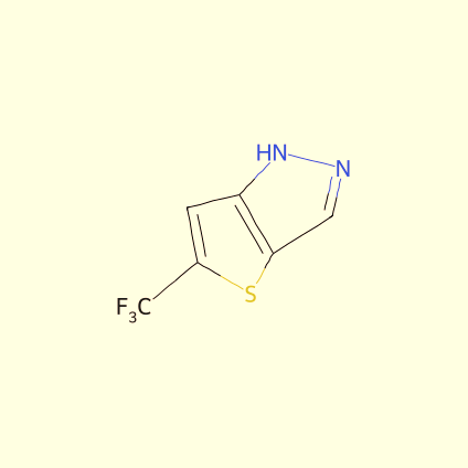 FC(F)(F)c1cc2[nH]ncc2s1